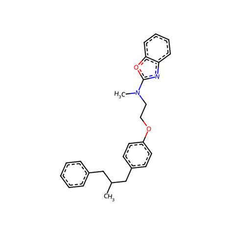 CC(Cc1ccccc1)Cc1ccc(OCCN(C)c2nc3ccccc3o2)cc1